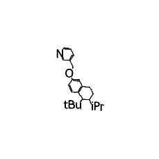 CC(C)C1CCc2cc(OCc3cccnc3)ccc2C1C(C)(C)C